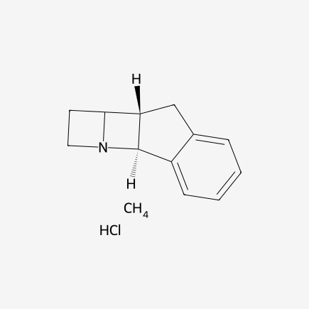 C.Cl.c1ccc2c(c1)C[C@H]1C3CCN3[C@H]21